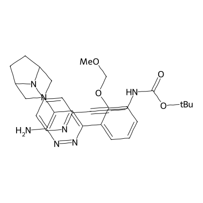 COCOc1ccccc1-c1cc(N2CC3CCC(C2)N3c2ccnc(C#CCNC(=O)OC(C)(C)C)c2)c(N)nn1